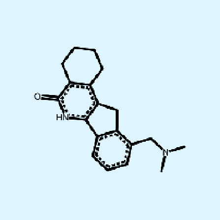 CN(C)Cc1cccc2c1Cc1c-2[nH]c(=O)c2c1CCCC2